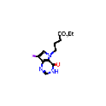 CCOC(=O)CCCn1cc(I)c2nc[nH]c(=O)c21